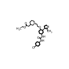 CCOC(=O)CC1CCCN(CCOc2ccc(NC(=O)Nc3ccc(Cl)cc3)cc2-c2ccnn2C)C1